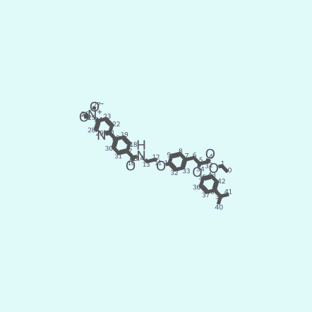 CCOC(=O)C(Cc1ccc(OCCNC(=O)c2ccc(-c3ccc([N+](=O)[O-])cn3)cc2)cc1)Oc1ccc(C(C)C)cc1